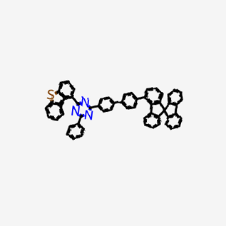 c1ccc(-c2nc(-c3ccc(-c4ccc(-c5cccc6c5-c5ccccc5C65c6ccccc6-c6ccccc65)cc4)cc3)nc(-c3cccc4sc5ccccc5c34)n2)cc1